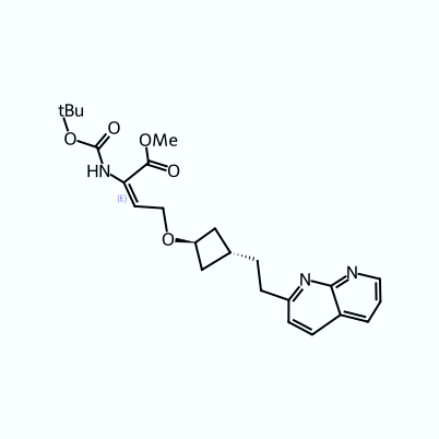 COC(=O)/C(=C\CO[C@H]1C[C@H](CCc2ccc3cccnc3n2)C1)NC(=O)OC(C)(C)C